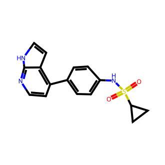 O=S(=O)(Nc1ccc(-c2ccnc3[nH]ccc23)cc1)C1CC1